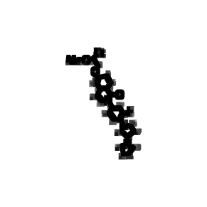 CCC(COc1ccc2c(=O)n(-c3ccc(N4CCC(N5CCCC5)C4)c(F)c3)ccc2c1)OC